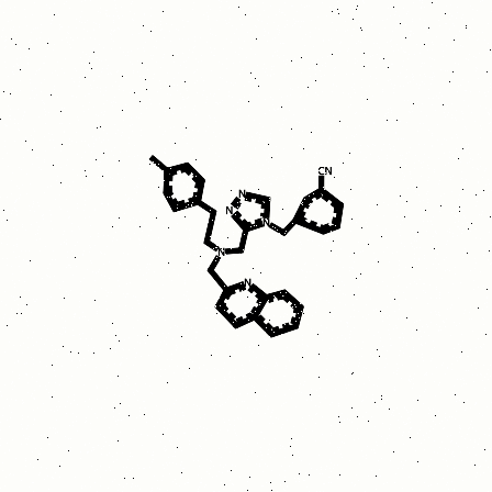 Cc1ccc(CCN(Cc2ccc3ccccc3n2)Cc2nncn2Cc2cccc(C#N)c2)cc1